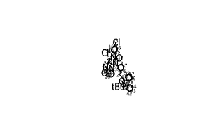 CC(C)(C)[Si](OCCc1cccc(N2C(=O)N(c3ccc(Cl)cc3Cl)Cc3cnc(S(C)(=O)=O)nc32)c1)(c1ccccc1)c1ccccc1